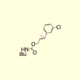 CCC(C)NC(=O)OC/C=C/c1cccc(Cl)c1